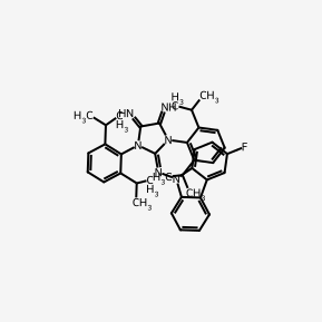 CC(C)c1cccc(C(C)C)c1N1C(=N)C(=N)N(c2c(C(C)C)cccc2C(C)C)C1=Nn1c2ccccc2c2cc(F)ccc21